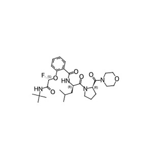 CC(C)C[C@@H](NC(=O)c1ccccc1O[C@@H](F)C(=O)NC(C)(C)C)C(=O)N1CCC[C@@H]1C(=O)N1CCOCC1